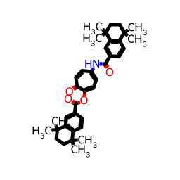 CC1(C)CCC(C)(C)c2cc(C(=O)Nc3ccc(OC(=O)c4ccc5c(c4)C(C)(C)CCC5(C)C)c(=O)cc3)ccc21